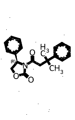 CC(C)(CC(=O)N1C(=O)OC[C@H]1c1ccccc1)c1ccccc1